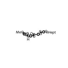 CCCCCCCOc1ccc(C(=O)Oc2ccc(CCN(CC(=O)O)C(=O)c3ccc(NC(=O)Cc4ccc(OC)cc4)cc3)cc2)cc1